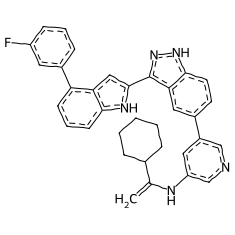 C=C(Nc1cncc(-c2ccc3[nH]nc(-c4cc5c(-c6cccc(F)c6)cccc5[nH]4)c3c2)c1)C1CCCCC1